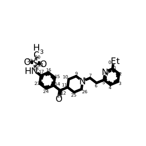 CCc1cccc(CCN2CCC(C(=O)c3ccc(NS(C)(=O)=O)cc3)CC2)n1